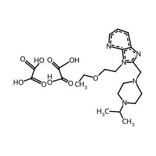 CCOCCn1c(CN2CCN(C(C)C)CC2)nc2cccnc21.O=C(O)C(=O)O.O=C(O)C(=O)O